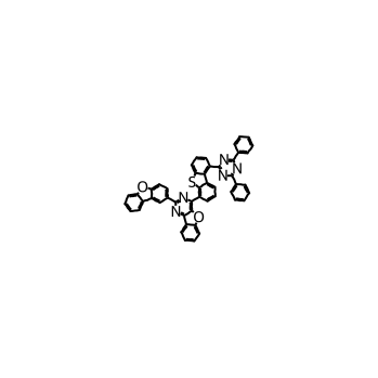 c1ccc(-c2nc(-c3ccccc3)nc(-c3cccc4sc5c(-c6nc(-c7ccc8oc9ccccc9c8c7)nc7c6oc6ccccc67)cccc5c34)n2)cc1